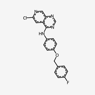 Fc1ccc(COc2ccc(Nc3ncnc4cnc(Cl)cc34)cc2)cc1